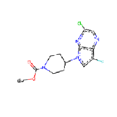 CC(C)(C)OC(=O)N1CCC(n2cc(F)c3ncc(Cl)nc32)CC1